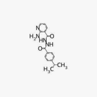 CC(C)c1ccc(C(=O)NNC(=O)c2cccnc2N)cc1